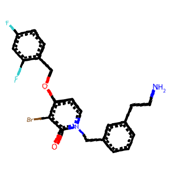 NCCc1cccc(Cn2ccc(OCc3ccc(F)cc3F)c(Br)c2=O)c1